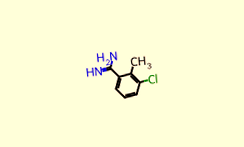 Cc1c(Cl)cccc1C(=N)N